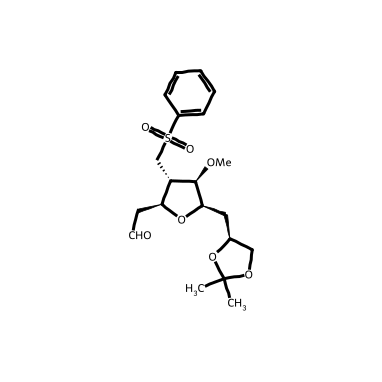 CO[C@@H]1[C@@H](CS(=O)(=O)c2ccccc2)[C@H](CC=O)O[C@@H]1C[C@H]1COC(C)(C)O1